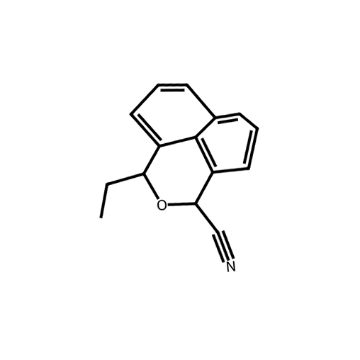 CCC1OC(C#N)c2cccc3cccc1c23